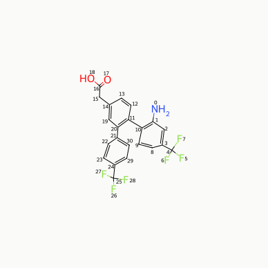 Nc1cc(C(F)(F)F)ccc1-c1ccc(CC(=O)O)cc1-c1ccc(C(F)(F)F)cc1